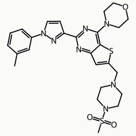 Cc1cccc(-n2ccc(-c3nc(N4CCOCC4)c4sc(CN5CCN(S(C)(=O)=O)CC5)cc4n3)n2)c1